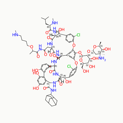 CNCCCCOC(C)C(=O)NC(=O)C[C@@H]1NC(=O)[C@H](NC(=O)[C@@H](CC(C)C)NC)[C@H](O)c2ccc(c(Cl)c2)Oc2cc3cc(c2O[C@@H]2O[C@H](CO)[C@@H](O)[C@H](O)[C@H]2O[C@H]2C[C@](C)(N)[C@H](O)[C@H](C)O2)Oc2ccc(cc2Cl)[C@@H](O)[C@@H]2NC(=O)[C@H](NC(=O)[C@@H]3NC1=O)c1ccc(O)c(c1)-c1c(O)cc(O)cc1[C@@H](C(=O)NC1C3CC4CC(C3)CC1C4)NC2=O